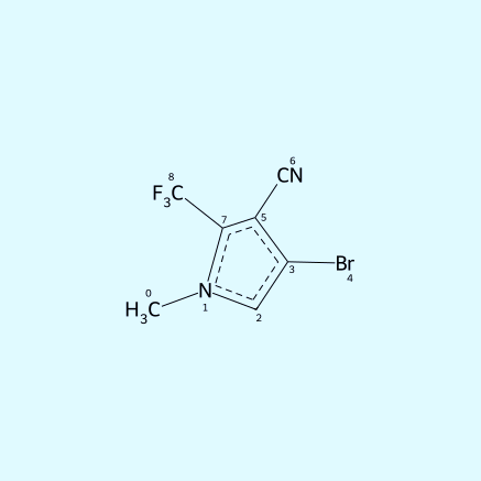 Cn1cc(Br)c(C#N)c1C(F)(F)F